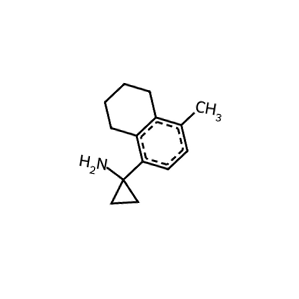 Cc1ccc(C2(N)CC2)c2c1CCCC2